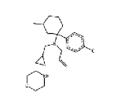 C1COCCN1.C=CCN(CC1CC1)C1(c2ccc(Cl)cc2)CCCC(C)C1